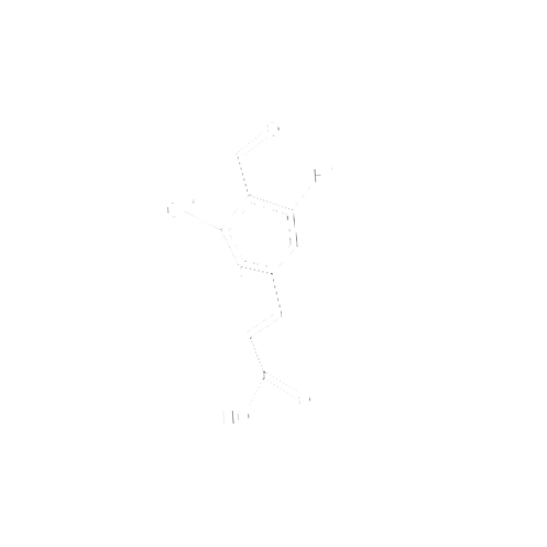 O=Cc1c(F)cc(/C=C/C(=O)O)cc1Cl